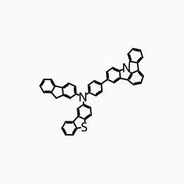 c1ccc2c(c1)Cc1cc(N(c3ccc(-c4ccc5c(c4)c4cccc6c7ccccc7n5c64)cc3)c3ccc4sc5ccccc5c4c3)ccc1-2